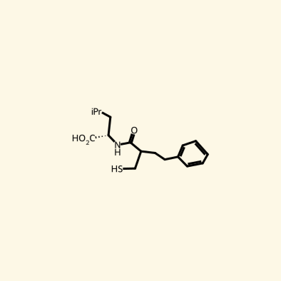 CC(C)C[C@H](NC(=O)C(CS)CCc1ccccc1)C(=O)O